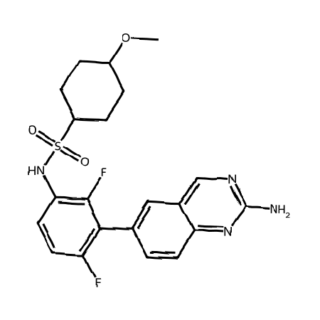 COC1CCC(S(=O)(=O)Nc2ccc(F)c(-c3ccc4nc(N)ncc4c3)c2F)CC1